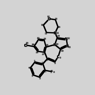 Fc1ccccc1C1=CCc2nnc(N3CCOCC3)n2-c2ccc(Cl)cc21